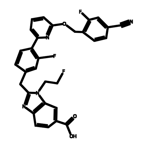 N#Cc1ccc(COc2cccc(-c3ccc(Cc4nc5ccc(C(=O)O)cc5n4CCF)cc3F)n2)c(F)c1